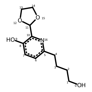 OCCCCc1ccc(O)c(C2OCCO2)n1